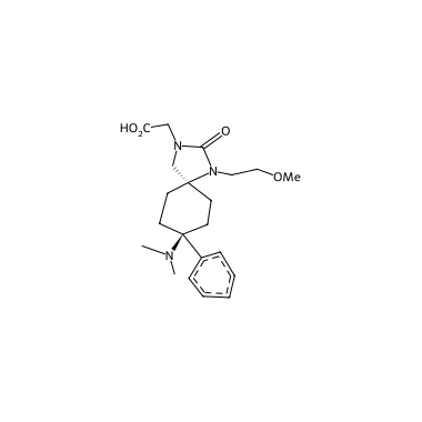 COCCN1C(=O)N(CC(=O)O)C[C@]12CC[C@](c1ccccc1)(N(C)C)CC2